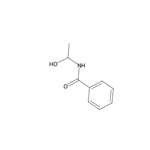 CC(O)NC(=O)c1ccccc1